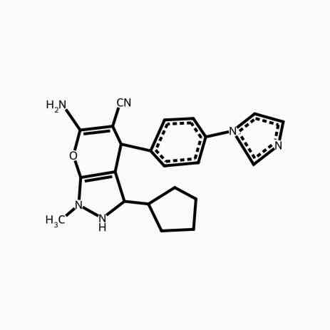 CN1NC(C2CCCC2)C2=C1OC(N)=C(C#N)C2c1ccc(-n2ccnc2)cc1